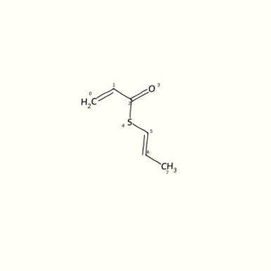 C=CC(=O)SC=CC